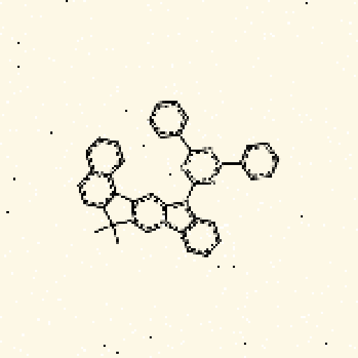 CC1(C)c2cc3c4ccccc4n(-c4nc(-c5ccccc5)nc(-c5ccccc5)n4)c3cc2-c2c1ccc1ccccc21